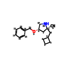 N#C[C@]1(CC2CCC2)C[C@H](OCc2ccccc2)CN1